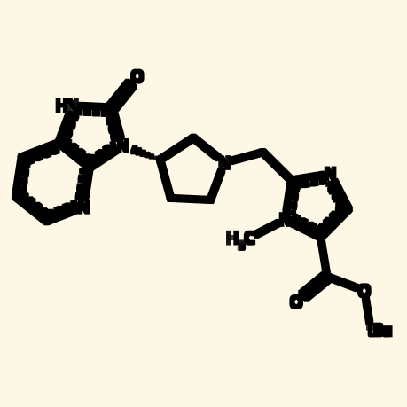 Cn1c(C(=O)OC(C)(C)C)cnc1CN1CC[C@H](n2c(=O)[nH]c3cccnc32)C1